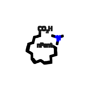 CCCCC/C=C\C/C=C\C/C=C\C/C=C\CCCC(=O)O.CN(C)C